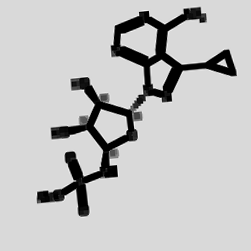 COS(=O)(=O)N[C@@H]1O[C@@H](n2nc(C3CC3)c3c(N)ncnc32)[C@H](O)[C@@H]1O